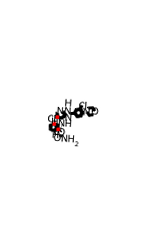 NC(=O)O[C@@H]1[C@H](Nc2c(Cl)cnc3[nH]c(-c4ccc(N5CCOCC5)c(Cl)c4)nc23)[C@H]2C=C[C@@H]1C2